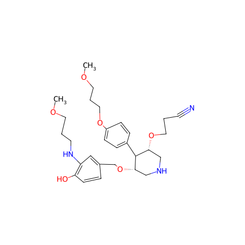 COCCCNc1cc(CO[C@H]2CNC[C@@H](OCCC#N)C2c2ccc(OCCCOC)cc2)ccc1O